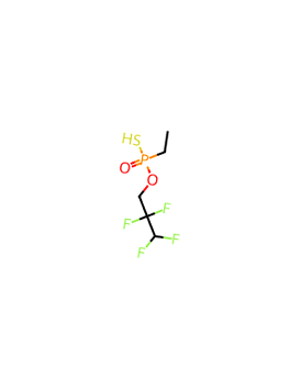 CCP(=O)(S)OCC(F)(F)C(F)F